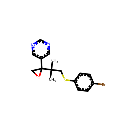 CC(C)(CSc1ccc(Br)cc1)C1(c2cncnc2)CO1